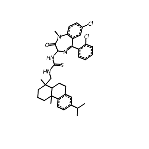 CC(C)c1ccc2c(c1)CCC1C(C)(CNC(=S)NC3N=C(c4ccccc4Cl)c4cc(Cl)ccc4N(C)C3=O)CCCC21C